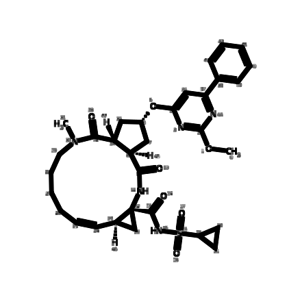 COc1nc(O[C@@H]2C[C@H]3C(=O)N[C@]4(C(=O)NS(=O)(=O)C5CC5)C[C@H]4/C=C\CCCCN(C)C(=O)[C@@H]3C2)cc(-c2ccccc2)n1